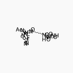 CC(=O)N1CCc2c(c(N3CCCc4cc(-c5cnn(C)c5)c(C(F)F)cc43)nn2C2CCN(C(=O)CCCCCCCCNc3cccc4c3n(C)c(=O)n4C3CCC(=O)NC3=O)CC2)C1